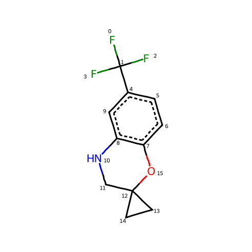 FC(F)(F)c1ccc2c(c1)NCC1(CC1)O2